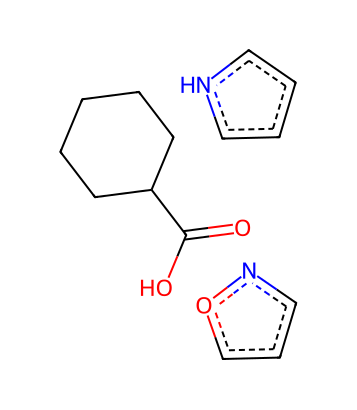 O=C(O)C1CCCCC1.c1cc[nH]c1.c1cnoc1